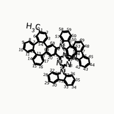 Cc1ccc2c(c1)-c1ccccc1-c1ccccc1-c1cc(-c3nc(-n4c5ccccc5c5ccccc54)nc(-n4c5ccccc5c5ccccc54)n3)c(-n3c4ccccc4c4ccccc43)cc1-2